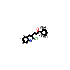 COc1cccc(OC)c1C(=O)C=Cc1cc2ccccc2nc1Cl